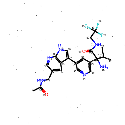 CC(=O)NCc1cnc2[nH]cc(-c3cncc(C(N)(C(=O)NCC(F)(F)F)C(C)C)c3)c2c1